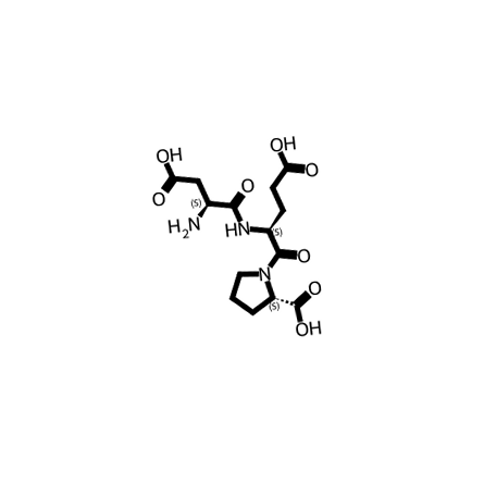 N[C@@H](CC(=O)O)C(=O)N[C@@H](CCC(=O)O)C(=O)N1CCC[C@H]1C(=O)O